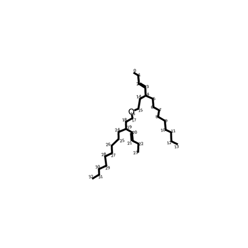 CCC=CC(CCCCCCCCC)CCOCCC(C=CCC)CCCCCCCCC